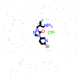 Cl.NC/C(=C\F)Cn1ncn(-c2ccc(Br)nc2)c1=O